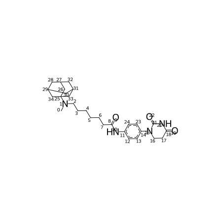 CN(CCCCCCC(=O)Nc1ccc(N2CCC(=O)NC2=O)cc1)C12CC3CC(CC(C3)C1)C2